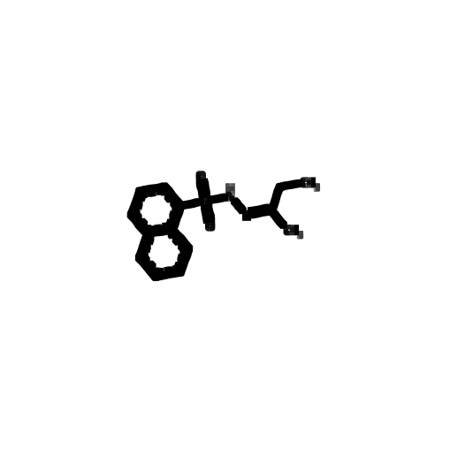 CC/C(C)=N\NS(=O)(=O)c1cccc2ccccc12